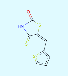 O=C1NC(=S)C(=Cc2cccs2)S1